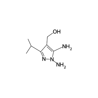 CC(C)c1nn(N)c(N)c1CO